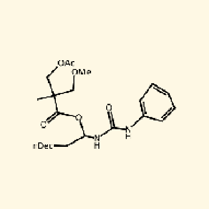 CCCCCCCCCCCC(NC(=O)Nc1ccccc1)OC(=O)C(C)(COC)COC(C)=O